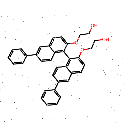 OCCOc1ccc2cc(-c3ccccc3)ccc2c1-c1c(OCCO)ccc2cc(-c3ccccc3)ccc12